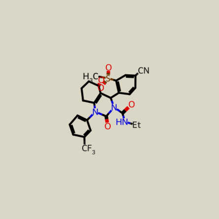 CCNC(=O)N1C(=O)N(c2cccc(C(F)(F)F)c2)C2=C(C(=O)CCC2)C1c1ccc(C#N)cc1S(C)(=O)=O